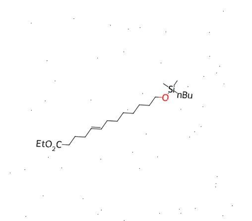 CCCC[Si](C)(C)OCCCCCCCC=CCCCC(=O)OCC